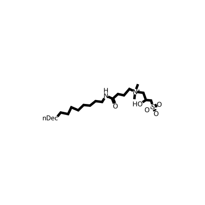 CCCCCCCCCCCCCCCCCCNC(=O)CCC[N+](C)(C)CC(O)CS(=O)(=O)[O-]